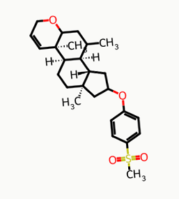 CC1CC2OCC=C[C@]2(C)[C@@H]2CC[C@]3(C)CC(Oc4ccc(S(C)(=O)=O)cc4)C[C@H]3[C@H]12